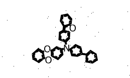 c1ccc(-c2ccc(N(c3ccc4c(c3)Oc3ccccc3O4)c3ccc4c(c3)oc3ccccc34)cc2)cc1